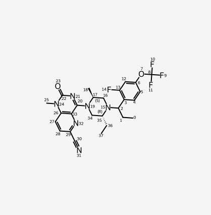 CCC(c1ccc(OC(F)(F)F)cc1F)N1C[C@H](C)N(c2nc(=O)n(C)c3ccc(C#N)nc23)C[C@H]1CC